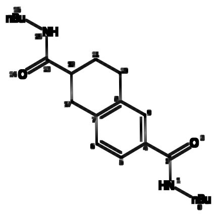 CCCCNC(=O)c1ccc2c(c1)CCC(C(=O)NCCCC)C2